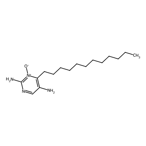 CCCCCCCCCCCCc1c(N)cnc(N)[n+]1[O-]